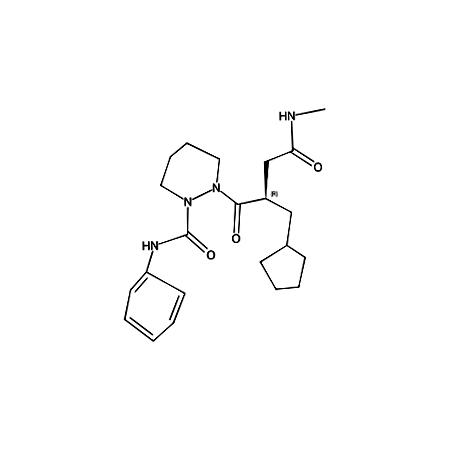 CNC(=O)C[C@@H](CC1CCCC1)C(=O)N1CCCCN1C(=O)Nc1ccccc1